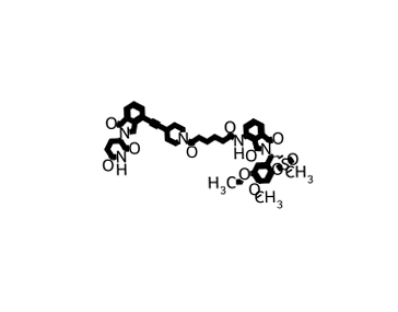 CCOc1cc([C@@H](CS(C)(=O)=O)N2C(=O)c3cccc(NC(=O)CCCCC(=O)N4CCC(C#Cc5cccc6c5CN(C5CCC(=O)NC5=O)C6=O)CC4)c3C2=O)ccc1OC